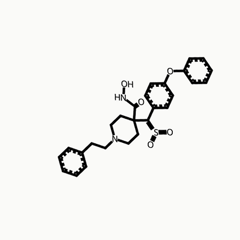 O=C(NO)C1(C(c2ccc(Oc3ccccc3)cc2)=S(=O)=O)CCN(CCc2ccccc2)CC1